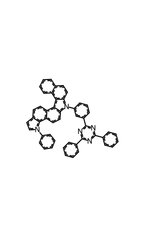 c1ccc(-c2nc(-c3ccccc3)nc(-c3cccc(-n4c5ccc6ccccc6c5c5c6ccc7ccn(-c8ccccc8)c7c6ccc54)c3)n2)cc1